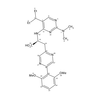 CCC(CC)c1cnc(N(C)C)nc1N[C@@H](Cc1cnc(-c2c(OC)cccc2OC)cn1)C(=O)O